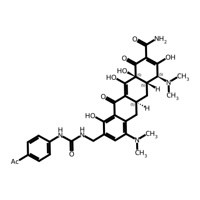 CC(=O)c1ccc(NC(=O)NCc2cc(N(C)C)c3c(c2O)C(=O)C2=C(O)[C@]4(O)C(=O)C(C(N)=O)=C(O)[C@@H](N(C)C)[C@@H]4C[C@H]2C3)cc1